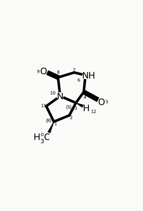 C[C@@H]1C[C@H]2C(=O)NCC(=O)N2C1